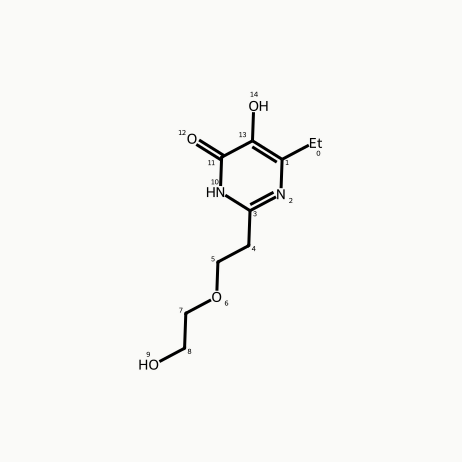 [CH2]Cc1nc(CCOCCO)[nH]c(=O)c1O